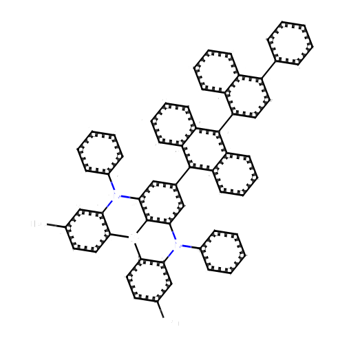 CC(C)(C)c1ccc2c(c1)N(c1ccccc1)c1cc(-c3c4ccccc4c(-c4ccc(-c5ccccc5)c5ccccc45)c4ccccc34)cc3c1B2c1ccc(C(C)(C)C)cc1N3c1ccccc1